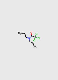 C=CCN(CC=C)C(=O)C(Cl)(Cl)Cl